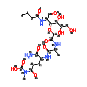 CCCC(=O)N[C@@H](C=O)[C@@H](OCC(=O)NC(C)C(=O)NC(CCC(=O)N(C)C(=O)O)C(N)=O)[C@H](O)[C@H](O)CO